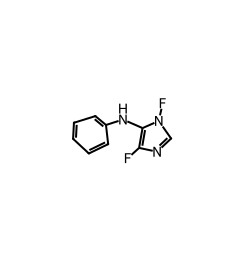 Fc1ncn(F)c1Nc1ccccc1